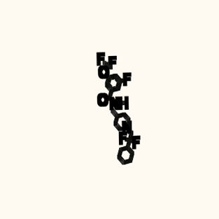 O=C(NCC1CCN(CC(F)(F)C2CCCCC2)CC1)c1cc(F)cc(OC(F)F)c1